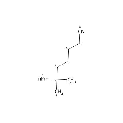 CCCC(C)(C)CCCCC#N